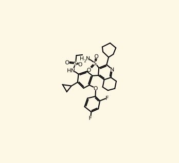 CCS(=O)(=O)Nc1cc(-c2c3c(nc(C4CCCCC4)c2S(N)(=O)=O)CCCC3)c(Oc2ccc(F)cc2F)cc1C1CC1